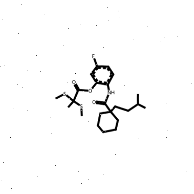 CSC(C)(SC)C(=O)Oc1cc(F)ccc1NC(=O)C1(CCC(C)C)CCCCC1